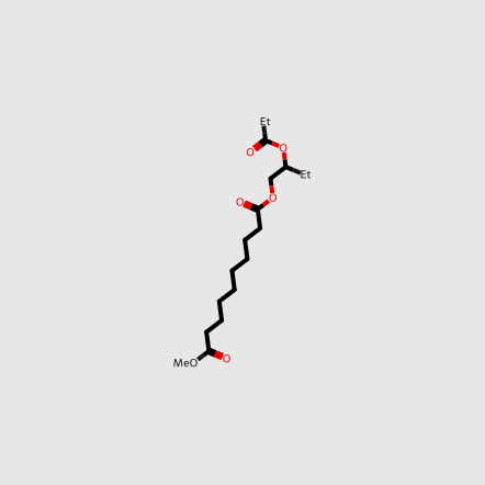 CCC(=O)OC(CC)COC(=O)CCCCCCCCC(=O)OC